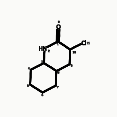 O=C1NC2CCCCC2CC1Cl